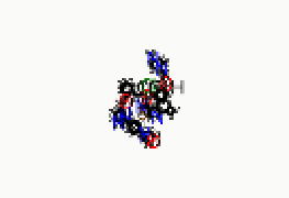 Cc1c(-c2c(C3CCC3)ncc3snc(OC(Cc4ccccc4OCc4ccnc(-c5ccc(N6CCOCC6)cc5)n4)C(=O)O)c23)ccc(OCCN2CCN(C)CC2)c1Cl